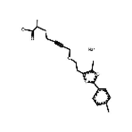 Cc1ccc(-c2nc(CCOCC#CCSC(C)C(=O)[O-])c(C)o2)cc1.[Na+]